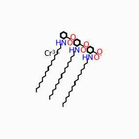 CCCCCCCCC=CCCCCCCCCNc1ccccc1C(=O)[O-].CCCCCCCCC=CCCCCCCCCNc1ccccc1C(=O)[O-].CCCCCCCCC=CCCCCCCCCNc1ccccc1C(=O)[O-].[Cr+3]